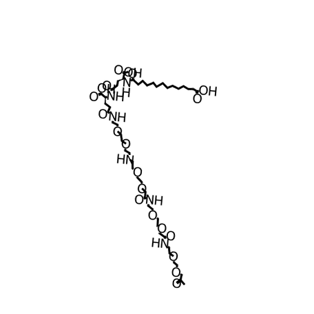 CC(=O)COCCOCCNC(=O)COCCOCCNC(=O)COCCOCCNCCOCCOCCNC(=O)CC[C@H](NC(=O)CC[C@H](NC(=O)CCCCCCCCCCCCC(=O)O)C(=O)O)C(=O)O